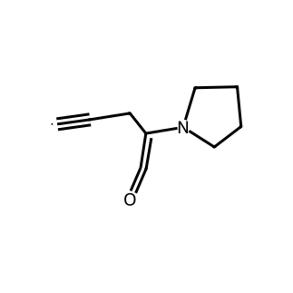 [C]#CCC(=C=O)N1CCCC1